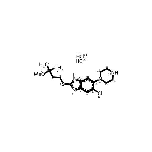 COC(C)(C)CCSc1nc2cc(Cl)c(N3CCNCC3)cc2[nH]1.Cl.Cl